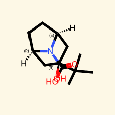 CC(C)(C)[C@]1(O)C[C@H]2CC[C@@H](C1)N2C(=O)O